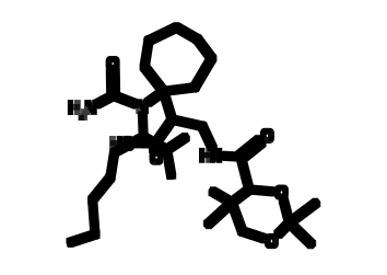 CCCCCC(C(C)C)N(C(N)=O)C1(C(CNC(=O)C2OC(C)(C)OCC2(C)C)C(=O)O)CCCCCC1